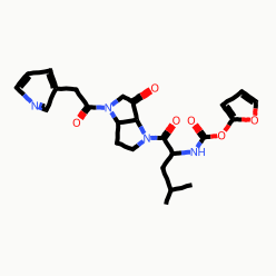 CC(C)CC(NC(=O)Oc1ccco1)C(=O)N1CCC2C1C(=O)CN2C(=O)Cc1cccnc1